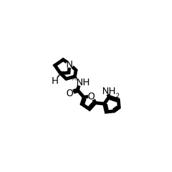 Nc1ccccc1-c1ccc(C(=O)N[C@@H]2C[C@H]3CCN(C3)C2)o1